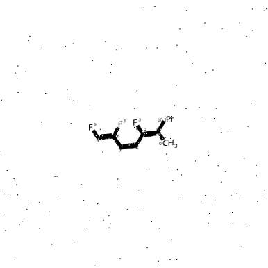 C\C(=C(F)/C=C\C(F)=C\F)C(C)C